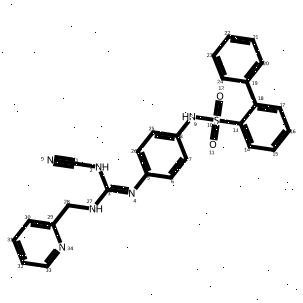 N#CNC(=Nc1ccc(NS(=O)(=O)c2ccccc2-c2ccccc2)cc1)NCc1ccccn1